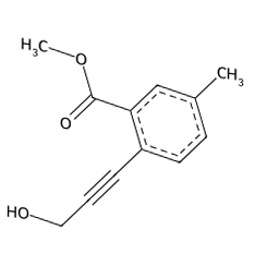 COC(=O)c1cc(C)ccc1C#CCO